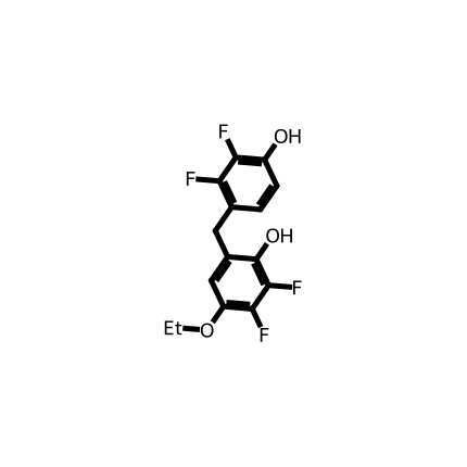 CCOc1cc(Cc2ccc(O)c(F)c2F)c(O)c(F)c1F